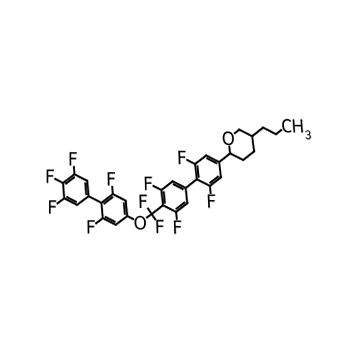 CCCC1CCC(c2cc(F)c(-c3cc(F)c(C(F)(F)Oc4cc(F)c(-c5cc(F)c(F)c(F)c5)c(F)c4)c(F)c3)c(F)c2)OC1